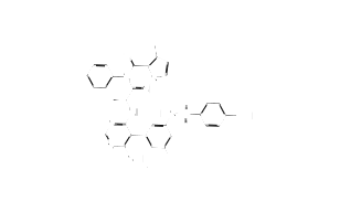 Cc1ccn2nc([C@H](C)Nc3ncnc(N)c3-c3cc(F)cc(NS(=O)(=O)c4ccc(O)cc4)c3)n(-c3ccccc3)c(=O)c12